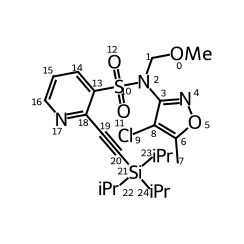 COCN(c1noc(C)c1Cl)S(=O)(=O)c1cccnc1C#C[Si](C(C)C)(C(C)C)C(C)C